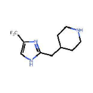 FC(F)(F)c1c[nH]c(CC2CCNCC2)n1